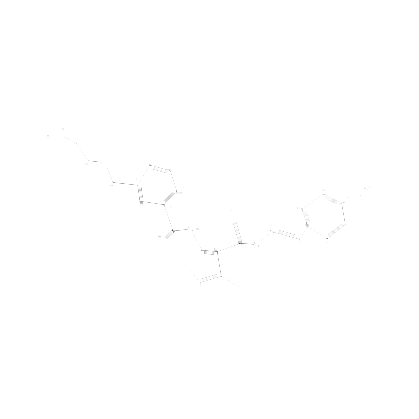 COc1ccc(/C=N/NC(=O)c2c(C)csc2NC(=O)c2cccc(CSCCS(=O)(=O)O)c2)cc1